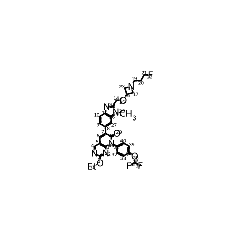 CCOc1ncc2cc(-c3ccc4nc(COC5CN(CCCF)C5)n(C)c4c3)c(=O)n(-c3ccc(OC(F)F)cc3)c2n1